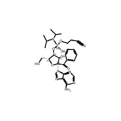 CC(C)N(C(C)C)[PH](O)(OCCC#N)O[C@H]1[C@@H](O)[C@](C(=O)c2ccccc2)(n2cnc3c(N)ncnc32)O[C@@H]1CO